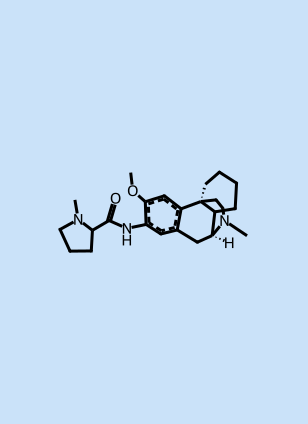 COc1cc2c(cc1NC(=O)C1CCCN1C)C[C@H]1C3CCCC[C@@]23CCN1C